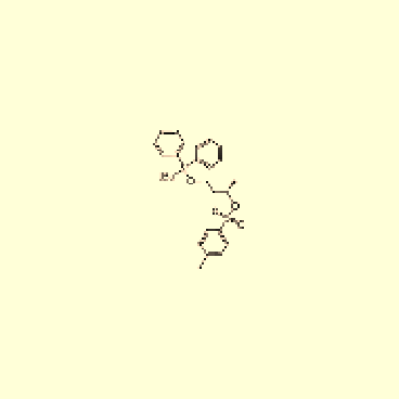 Cc1ccc(S(=O)(=O)O[C@H](C)CCO[Si](c2ccccc2)(c2ccccc2)C(C)(C)C)cc1